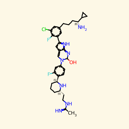 CC(=N)NCC[C@@H]1CCC[C@@H](c2ccc(N3C=c4cc(-c5cc(CCC[C@@H](N)C6CC6)cc(Cl)c5F)[nH]c4=NC3O)cc2F)N1